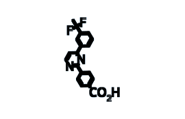 CC(F)(F)c1cccc(-c2ccnc(-c3ccc(C(=O)O)cc3)n2)c1